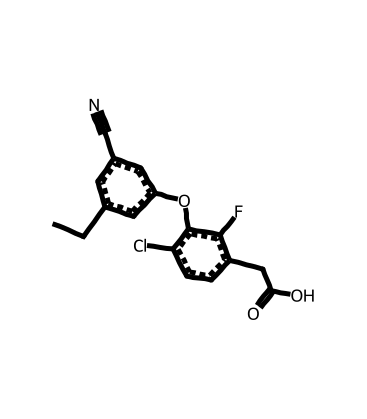 CCc1cc(C#N)cc(Oc2c(Cl)ccc(CC(=O)O)c2F)c1